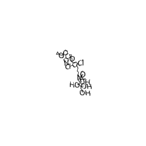 CCC(=O)N(CCCCc1cc(Cl)c(COC2(c3cnccc3-c3ccccc3OC3CC3)CC2)cc1Cl)CC(O)C(O)C(O)CCO